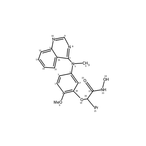 COc1ccc(N(C)c2ncnc3ccccc23)cc1OC(C(=O)NO)C(C)C